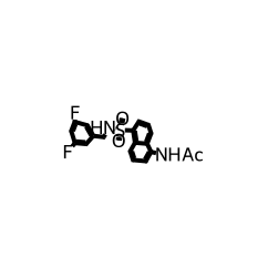 CC(=O)Nc1cccc2c(S(=O)(=O)NCc3cc(F)cc(F)c3)cccc12